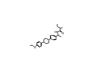 CCOc1ccc(C2CCN(c3ccc(C(C)NC(=O)N(C)CC)cc3)CC2)cc1